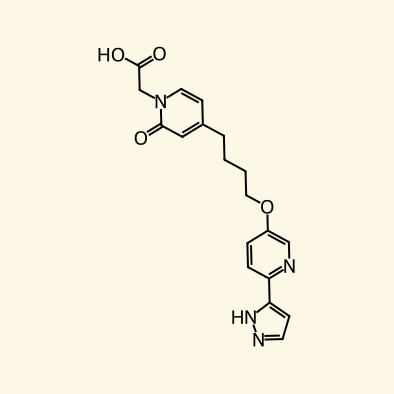 O=C(O)Cn1ccc(CCCCOc2ccc(-c3ccn[nH]3)nc2)cc1=O